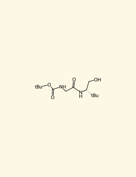 CC(C)(C)OC(=O)NCC(=O)N[C@H](CO)C(C)(C)C